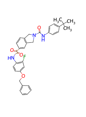 CC(C)(C)c1ccc(NC(=O)N2Cc3ccc(S(=O)(=O)Nc4ccc(OCc5ccccc5)cc4F)cc3C2)cc1